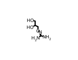 NC(N)=NOCC(O)CO